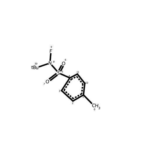 Cc1ccc(S(=O)(=O)N(F)C(C)(C)C)cc1